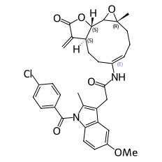 C=C1C(=O)O[C@@H]2C3O[C@]3(C)CC/C=C(/NC(=O)Cc3c(C)n(C(=O)c4ccc(Cl)cc4)c4ccc(OC)cc34)CC[C@@H]12